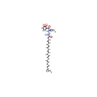 CCC=CCC=CCC=CCC=CCC=CCC=CCCC(=O)NCCN(C)C(=O)c1ccccc1O